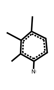 Cc1ccc([N])c(C)c1C